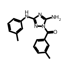 Cc1cccc(Nc2nc(N)n(C(=O)c3cccc(C)c3)n2)c1